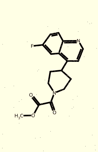 COC(=O)C(=O)N1CCC(c2ccnc3ccc(F)cc23)CC1